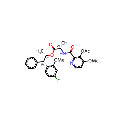 COc1cc(F)ccc1[C@H](c1ccccc1)[C@H](C)OC(=O)[C@H](C)NC(=O)c1nccc(OC)c1OC(C)=O